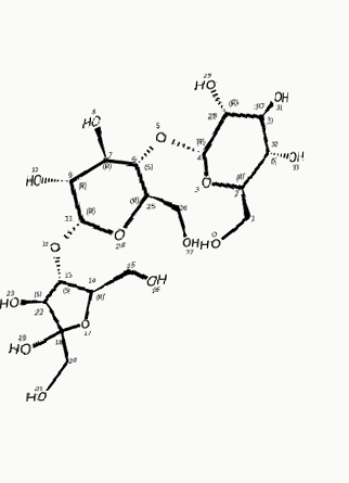 OC[C@H]1O[C@H](O[C@H]2[C@H](O)[C@@H](O)[C@@H](O[C@@H]3[C@@H](CO)OC(O)(CO)[C@H]3O)O[C@@H]2CO)[C@H](O)[C@@H](O)[C@@H]1O